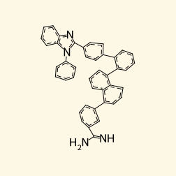 N=C(N)c1cccc(-c2cccc3c(-c4ccccc4-c4ccc(-c5nc6ccccc6n5-c5ccccc5)cc4)cccc23)c1